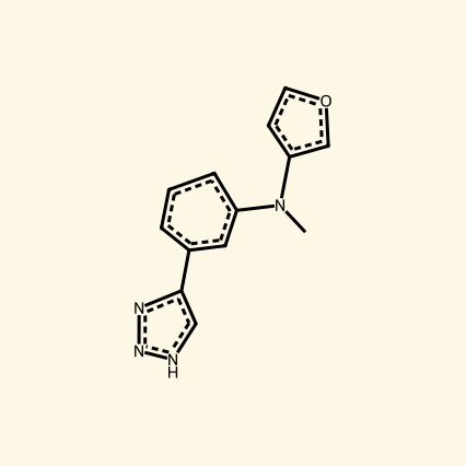 CN(c1ccoc1)c1cccc(-c2c[nH]nn2)c1